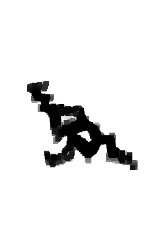 COc1cc(CCN)cc(OC)c1SCCCCO